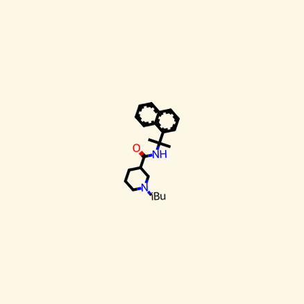 CCC(C)N1CCCC(C(=O)NC(C)(C)c2cccc3ccccc23)C1